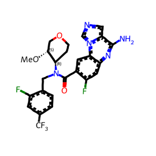 CO[C@@H]1COCC[C@H]1N(Cc1ccc(C(F)(F)F)cc1F)C(=O)c1cc2c(cc1F)nc(N)c1cncn12